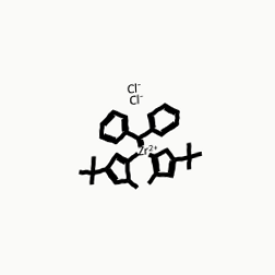 CC1=[C]([Zr+2]([C]2=CC(C(C)(C)C)=CC2C)=[C](c2ccccc2)c2ccccc2)CC(C(C)(C)C)=C1.[Cl-].[Cl-]